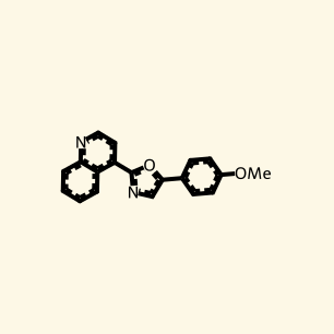 COc1ccc(-c2cnc(-c3ccnc4ccccc34)o2)cc1